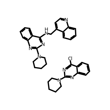 Clc1nc(N2CCCCC2)nc2ccccc12.c1ccc2c(CNc3nc(N4CCCCC4)nc4ccccc34)ccnc2c1